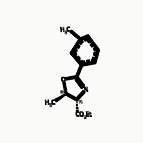 CCOC(=O)[C@H]1N=C(c2cccc(C)c2)O[C@@H]1C